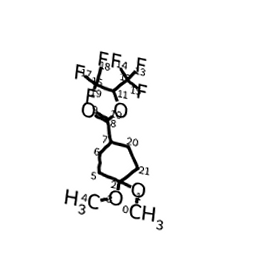 COC1(OC)CCC(C(=O)OC(C(F)(F)F)C(F)(F)F)CC1